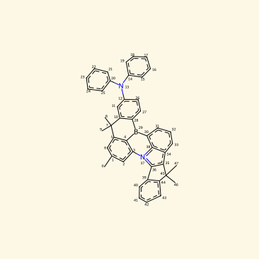 Cc1cc2c3c(c1)C(C)(C)c1cc(N(c4ccccc4)c4ccccc4)ccc1B3c1cccc3c4c(n-2c13)-c1ccccc1C4(C)C